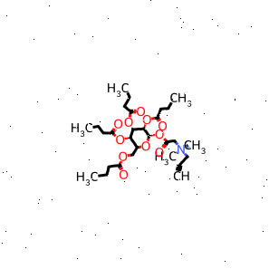 C#CC[N+](C)(C)CC(=O)O[C@H]1OC(COC(=O)CCC)[C@@H](OC(=O)CCC)[C@H](OC(=O)CCC)[C@H]1OC(=O)CCC